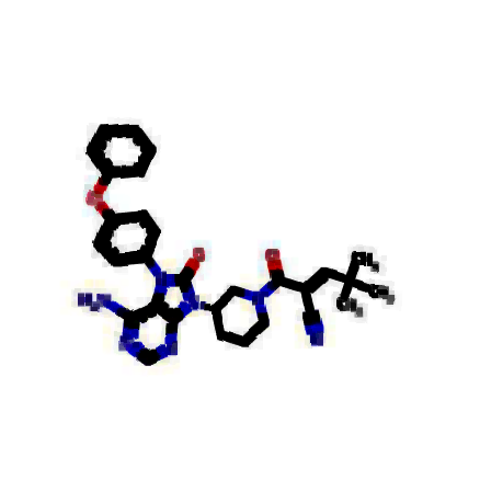 CC(C)(C)C=C(C#N)C(=O)N1CCC[C@H](n2c(=O)n(-c3ccc(Oc4ccccc4)cc3)c3c(N)ncnc32)C1